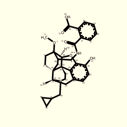 COC12CC[C@@]3(C[C@@H]1CNC(=O)c1ccccc1C(=O)O)[C@H]1Cc4ccc(O)c5c4[C@@]3(CCN1CC1CC1)C2O5